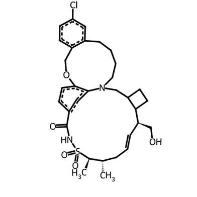 C[C@@H]1[C@@H](C)C/C=C/[C@H](CO)C2CCC2CN2CCCCc3cc(Cl)ccc3COc3ccc(cc32)C(=O)NS1(=O)=O